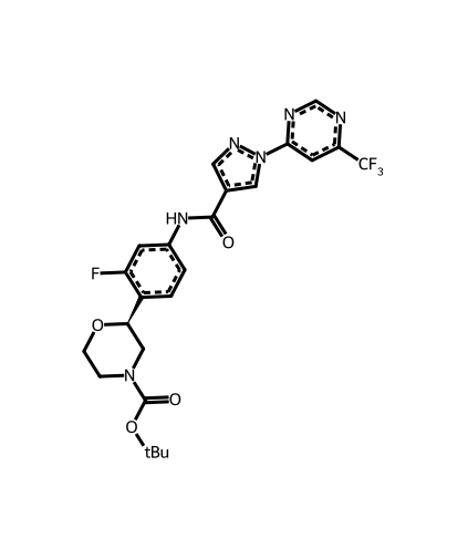 CC(C)(C)OC(=O)N1CCO[C@@H](c2ccc(NC(=O)c3cnn(-c4cc(C(F)(F)F)ncn4)c3)cc2F)C1